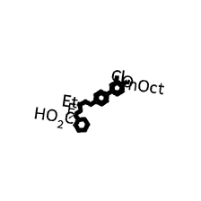 CCCCCCCCOc1ccc(-c2ccc(CCC(CC)C[C@@](F)(C(=O)O)C3CCCCC3)cc2)cc1Cl